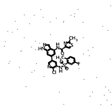 Cc1nc(C(=O)Nc2cc(-c3cnc(Cl)c(NS(=O)(=O)c4cc(F)ccc4C)c3)cc3[nH]ncc23)cs1